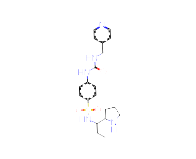 CCC(NS(=O)(=O)c1ccc(NC(=O)NCc2ccncc2)cc1)C1CCCN1